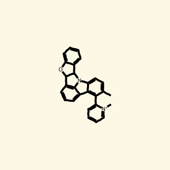 Cc1ccc2c(c1-c1cccc[n+]1C)c1cccc3c1n2C1c2ccccc2OC31